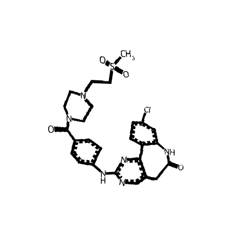 CS(=O)(=O)CCN1CCN(C(=O)c2ccc(Nc3ncc4c(n3)-c3ccc(Cl)cc3NC(=O)C4)cc2)CC1